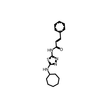 O=C(C=Cc1ccccc1)Nc1nnc(NC2CCCCCC2)s1